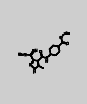 CNC(=N)c1n[nH]c(C)c1C(=O)NC1CCN(C(=O)OC(C)(C)C)CC1